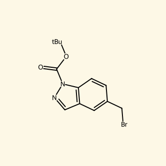 CC(C)(C)OC(=O)n1ncc2cc(CBr)ccc21